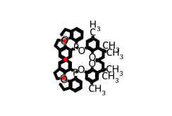 Cc1cc(OP(c2cccc3c2OCC3)c2cccc3c2OCC3)c2c(c1)C(C)(C)CC1(CC(C)(C)c3cc(C)cc(OP(c4cccc5c4OCC5)c4cccc5c4OCC5)c3O1)O2